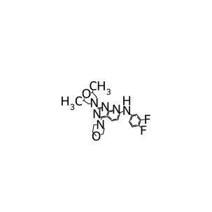 CC1CN(c2nc(N3CCOCC3)c3ccc(Nc4ccc(F)c(F)c4)nc3n2)CC(C)O1